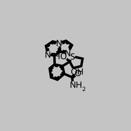 NC(=O)c1cccc(-c2nccn3ccnc23)c1C1(O)SCCC1O